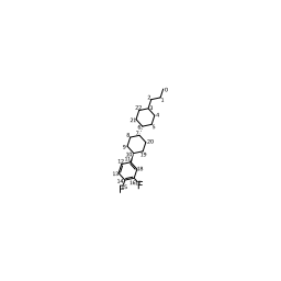 CCCC1CCC([C@H]2CC[C@H](c3ccc(F)c(F)c3)CC2)CC1